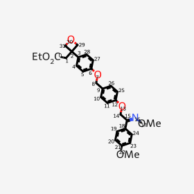 CCOC(=O)CC1(c2ccc(OCc3ccc(OCC(=NOC)c4ccc(OC)cc4)cc3)cc2)COC1